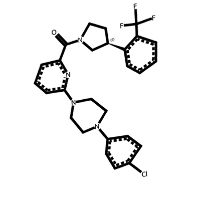 O=C(c1cccc(N2CCN(c3ccc(Cl)cc3)CC2)n1)N1CC[C@@H](c2ccccc2C(F)(F)F)C1